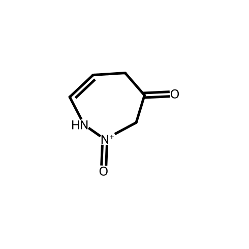 O=C1CC=CN[N+](=O)C1